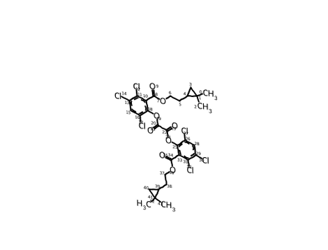 CC1(C)CC1CCOC(=O)c1c(Cl)c(Cl)cc(Cl)c1OC(=O)C(=O)Oc1c(Cl)cc(Cl)c(Cl)c1C(=O)OCCC1CC1(C)C